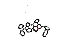 c1ccc(N(c2ccccc2-c2cccc(-c3cccc4ccccc34)c2)c2cccc3c2-c2ccccc2C3(c2ccccc2)c2ccccc2)cc1